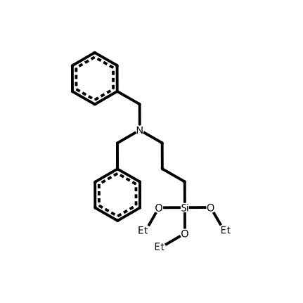 CCO[Si](CCCN(Cc1ccccc1)Cc1ccccc1)(OCC)OCC